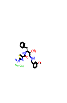 COc1cccc(CNC[C@@H](O)[C@H](Cc2ccccc2)NC(=O)c2csc(N)n2)c1.Cl.Cl